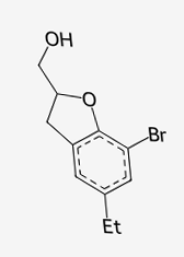 CCc1cc(Br)c2c(c1)CC(CO)O2